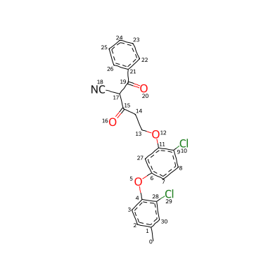 Cc1ccc(Oc2ccc(Cl)c(OCCC(=O)C(C#N)C(=O)c3ccccc3)c2)c(Cl)c1